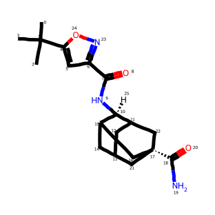 CC(C)(C)c1cc(C(=O)N[C@H]2C3CC4CC2C[C@](C(N)=O)(C4)C3)no1